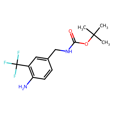 CC(C)(C)OC(=O)NCc1ccc(N)c(C(F)(F)F)c1